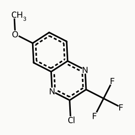 COc1ccc2nc(C(F)(F)F)c(Cl)nc2c1